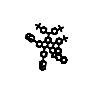 CC(C)(C)c1ccc(N(c2ccc(C(C)(C)C)cc2)c2cc3c4c(c2)N(c2ccc(C(C)(C)C)cc2-c2ccccc2)c2cc5c(cc2B4N(c2ccc(C46CC7CC(CC(C7)C4)C6)cc2)c2ccc(C46CC7CC(CC(C7)C4)C6)cc2-3)oc2cc3ccccc3cc25)cc1